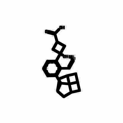 N/C=C\c1c(C2C3CC4CC5CC(C3)C452)cccc1C1(O)CC(C(=O)O)C1